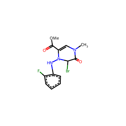 COC(=O)C1=CN(C)C(=O)C(Br)N1Nc1ccccc1F